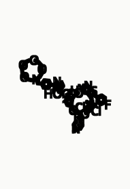 Cc1c(Cl)c2c(Cl)c(C)c1-c1c(-c3ccc(F)cc3)sc3ncnc(c13)O[C@@H](C(=O)O)c1cc(ccc1OCc1ccnc(-c3ccc(CN4CCOCCOCCOCCOCC4)cc3)n1)OC[C@@H](CN1CCN(C)CC1)O2